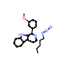 CCCCCN=[N+]=[N-].COc1cccc(-c2nccc3c2[nH]c2ccccc23)c1